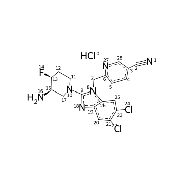 Cl.N#Cc1ccc(Cn2c(N3CC[C@H](F)[C@H](N)C3)nc3cc(Cl)c(Cl)cc32)nc1